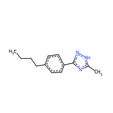 CCCCc1ccc(-c2n[nH]c(C)n2)cc1